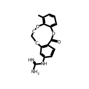 Cc1cccc2c1OCCCc1cc(NC(=N)N)ccc1C(=O)O2